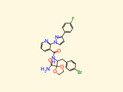 NC(=O)C1(C(Cc2ccc(Br)cc2)NC(=O)c2cccnc2-n2ccc(-c3ccc(F)cc3)n2)OCCO1